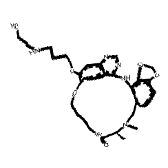 C[C@H]1C(=O)NCCCOc2cc3c(ncnc3cc2OCCCNCCO)Nc2c(ccc3c2OCO3)CN1C